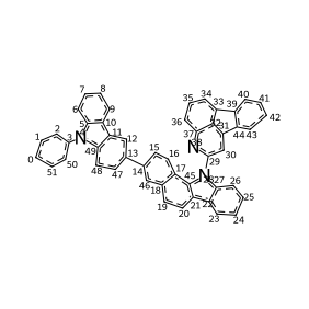 c1ccc(-n2c3ccccc3c3cc(-c4ccc5c(ccc6c7ccccc7n(-c7cc8c9c(cccc9n7)-c7ccccc7-8)c56)c4)ccc32)cc1